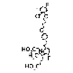 Cc1c(CCCC(=O)O)c2c(F)ccc(C=Cc3ccc(OCCCCOc4cc(F)cc(F)c4Cl)cc3)c2n1CC(=O)O